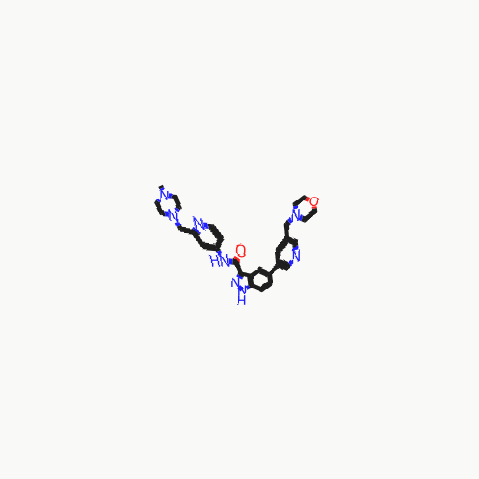 CN1CCN(Cc2cc(NC(=O)c3n[nH]c4ccc(-c5cncc(CN6CCOCC6)c5)cc34)ccn2)CC1